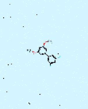 COc1cc(OC)cc(-c2cc(F)[c]c(F)c2)c1